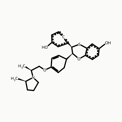 C[C@@H]1CCCN1[C@@H](C)COC1=CCC([C@@H]2Oc3ccc(O)cc3S[C@@H]2c2cccc(O)c2)C=C1